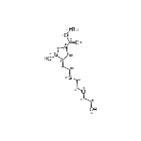 CC(C)(C)OC(=O)N1CC(O)C(CCSCCOCCO)C1